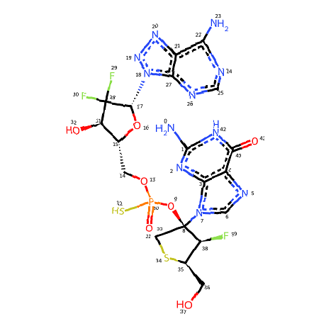 Nc1nc2c(ncn2[C@@]2(OP(=O)(S)OC[C@H]3O[C@@H](n4nnc5c(N)ncnc54)C(F)(F)[C@@H]3O)CS[C@H](CO)[C@@H]2F)c(=O)[nH]1